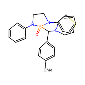 COc1ccc(C(N2CCSCC2)P2(=O)N(c3ccccc3)CCN2c2ccccc2)cc1